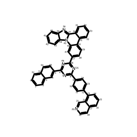 c1ccc2cc(-c3nc(-c4ccc(-c5cccc6ccncc56)cc4)nc(-c4ccc5c6ccccc6c6nc7ccccc7n6c5c4)n3)ccc2c1